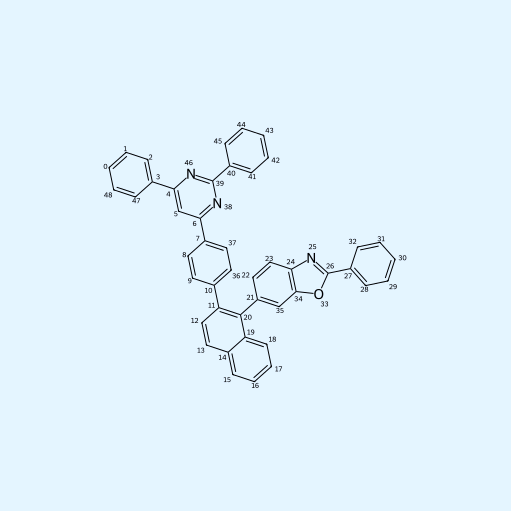 c1ccc(-c2cc(-c3ccc(-c4ccc5ccccc5c4-c4ccc5nc(-c6ccccc6)oc5c4)cc3)nc(-c3ccccc3)n2)cc1